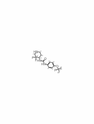 O=C(Nc1ccc(OC(F)(F)F)cc1)NC1CCNCC1(F)F